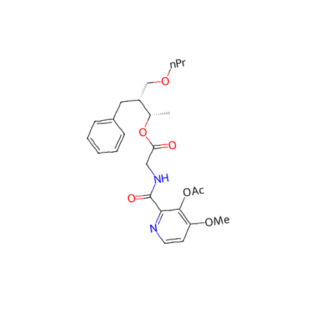 CCCOC[C@@H](Cc1ccccc1)[C@H](C)OC(=O)CNC(=O)c1nccc(OC)c1OC(C)=O